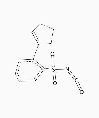 O=C=NS(=O)(=O)c1ccccc1C1=CCCC1